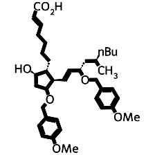 CCCC[C@H](C)C[C@@H](/C=C/[C@H]1C(OCc2ccc(OC)cc2)C[C@H](O)[C@@H]1CCCC/C=C/C(=O)O)OCc1ccc(OC)cc1